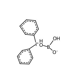 [O-]B(O)O.c1ccc([I+]c2ccccc2)cc1